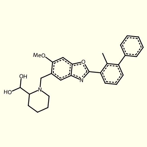 COc1cc2oc(-c3cccc(-c4ccccc4)c3C)nc2cc1CN1CCCCC1C(O)O